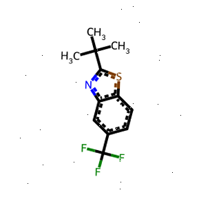 CC(C)(C)c1nc2cc(C(F)(F)F)ccc2s1